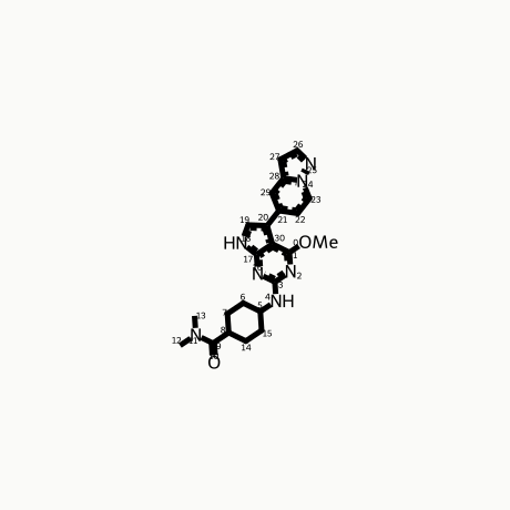 COc1nc(NC2CCC(C(=O)N(C)C)CC2)nc2[nH]cc(-c3ccn4nccc4c3)c12